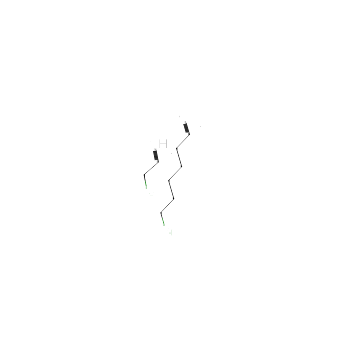 C=CCBr.C=CCCCCCBr